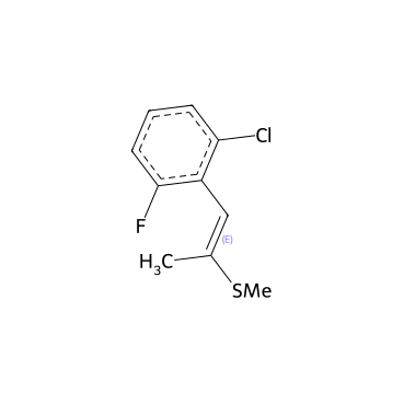 CS/C(C)=C/c1c(F)cccc1Cl